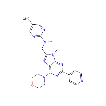 CN(Cc1nc2c(N3CCOCC3)nc(-c3ccncc3)nc2n1C)c1ncc(C=O)cn1